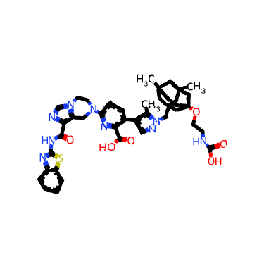 Cc1c(-c2ccc(N3CCn4cnc(C(=O)Nc5nc6ccccc6s5)c4C3)nc2C(=O)O)cnn1CC12CC3(C)CC(C)(C1)CC(OCCNC(=O)O)(C3)C2